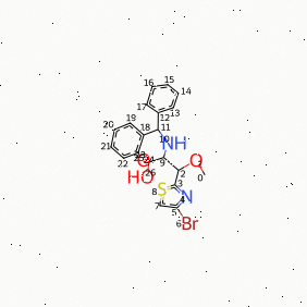 COC(c1nc(Br)cs1)C(NC(c1ccccc1)c1ccccc1)C(=O)O